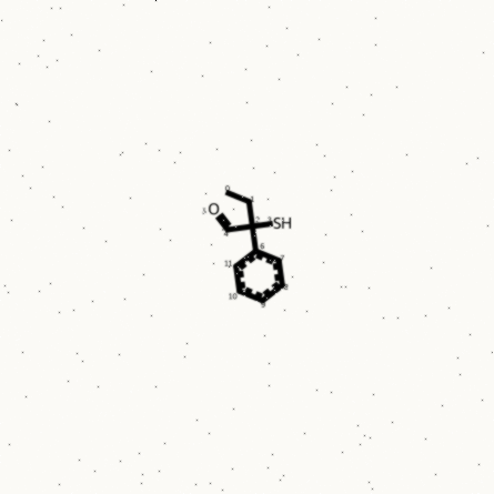 CCC(S)([C]=O)c1ccccc1